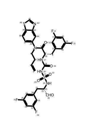 C=CCCN(C(=O)[C@H](Cc1cc(F)cc(F)c1)NC(=O)NS(=O)(=O)N[C@H](C=O)Cc1cc(F)cc(F)c1)c1ccc2scnc2c1